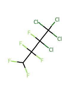 FC(F)C(F)(F)C(F)(Cl)C(Cl)(Cl)Cl